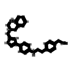 CC(C)(C)Cc1ccc(CCNc2ccc(-c3csc(CN(CC(=O)O)Cc4ccccc4)n3)cc2)cc1